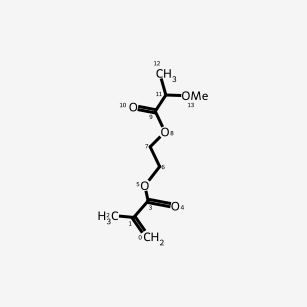 C=C(C)C(=O)OCCOC(=O)C(C)OC